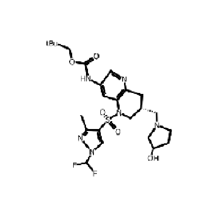 Cc1nn(C(F)F)cc1S(=O)(=O)N1C[C@@H](CN2CC[C@@H](O)C2)Cc2ncc(NC(=O)OCC(C)(C)C)cc21